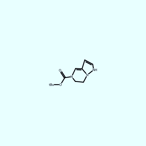 CC(C)(C)OC(=O)N1C=C2C=CNN2CC1